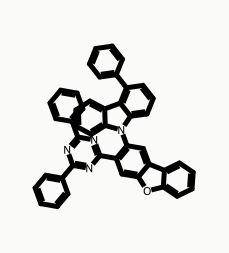 c1ccc(-c2nc(-c3ccccc3)nc(-c3cc4oc5ccccc5c4cc3-n3c4ccccc4c4c(-c5ccccc5)cccc43)n2)cc1